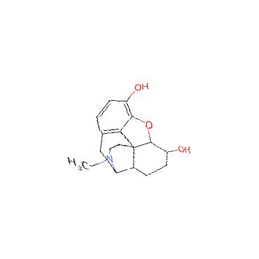 CN1CCC23c4c5ccc(O)c4OC2C(O)CCC3C1C5